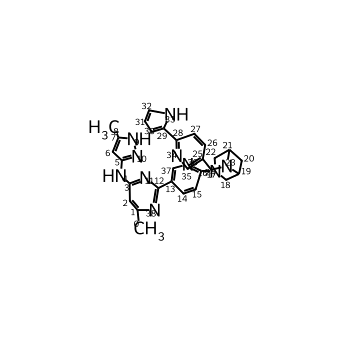 Cc1cc(Nc2cc(C)[nH]n2)nc(-c2ccc(N3CC4CC(C3)N4Cc3ccc(-c4ccc[nH]4)nc3)nc2)n1